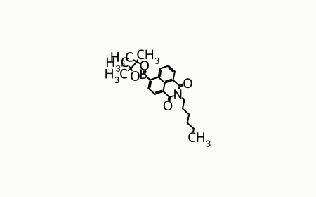 CCCCCCN1C(=O)c2cccc3c(B4OC(C)(C)C(C)(C)O4)ccc(c23)C1=O